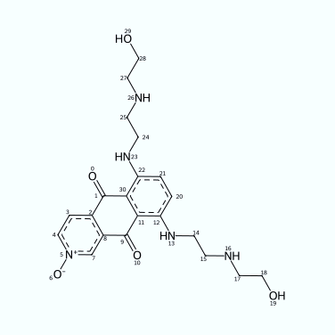 O=C1c2cc[n+]([O-])cc2C(=O)c2c(NCCNCCO)ccc(NCCNCCO)c21